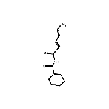 C/C=C/C=C/C(=O)NC(=O)N1CCCCC1